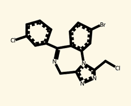 ClCc1nnc2n1-c1cc(Br)ccc1C(c1cccc(Cl)c1)=NC2